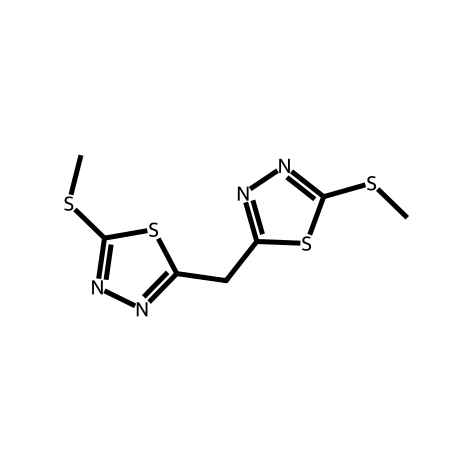 CSc1nnc(Cc2nnc(SC)s2)s1